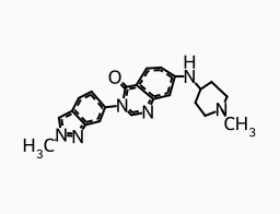 CN1CCC(Nc2ccc3c(=O)n(-c4ccc5cn(C)nc5c4)cnc3c2)CC1